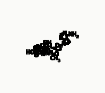 C[C@H](N=[N+]=[N-])OC1C[C@H](n2ccc3c(N)ncnc32)O[C@@H]1COP(=O)(O)OP(=O)(O)OP(=O)(O)O